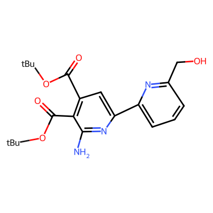 CC(C)(C)OC(=O)c1cc(-c2cccc(CO)n2)nc(N)c1C(=O)OC(C)(C)C